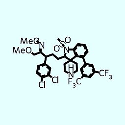 COCC(=NOC)C(CCC1N(S(C)(=O)=O)c2cccc(-c3cc(C(F)(F)F)cc(C(F)(F)F)c3)c2C12CCNCC2)c1ccc(Cl)c(Cl)c1